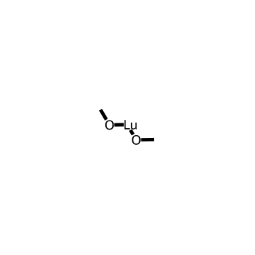 C[O][Lu][O]C